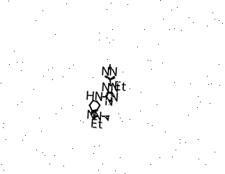 CCc1nc2c(n1C1CC1)C[C@H](Nc1ncnc3c1nc(-c1cnc(C)nc1)n3CC)CC2